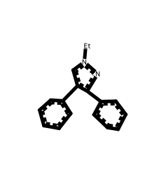 CCn1cc(-c2ccccc2)c(-c2ccccc2)n1